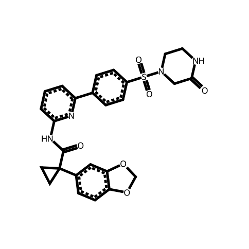 O=C1CN(S(=O)(=O)c2ccc(-c3cccc(NC(=O)C4(c5ccc6c(c5)OCO6)CC4)n3)cc2)CCN1